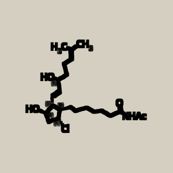 CC(=O)NC(=O)CCCCCC[C@@H]1[C@@H](C=C[C@@H](O)CCC=C(C)C)[C@H](O)C[C@H]1Cl